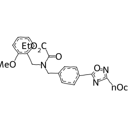 CCCCCCCCc1noc(-c2ccc(CN(Cc3ccccc3OC)C(=O)C(=O)OCC)cc2)n1